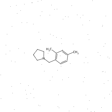 Cc1ccc(CN2CCCC2)c(C)c1